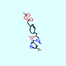 CC(=O)OC(=O)Cc1ccc(C[C@H](O)CN(C)C(=O)c2cncc(Br)c2)cc1